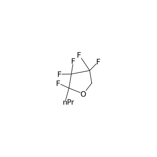 CCCC1(F)OCC(F)(F)C1(F)F